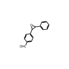 O=Cc1ccc(C2OC2c2ccccc2)cc1